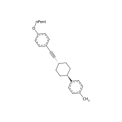 CCCCCOc1ccc(C#C[C@H]2CC[C@H](c3ccc(C)cc3)CC2)cc1